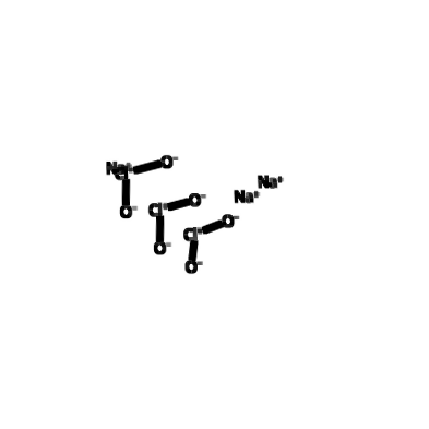 [Na+].[Na+].[Na+].[O-][Cl+][O-].[O-][Cl+][O-].[O-][Cl+][O-]